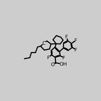 CCCCCC1CCC(C2(c3cc(F)c(C(=O)O)c(F)c3-c3cc(F)c(F)c(F)c3)CCCCC2)CC1